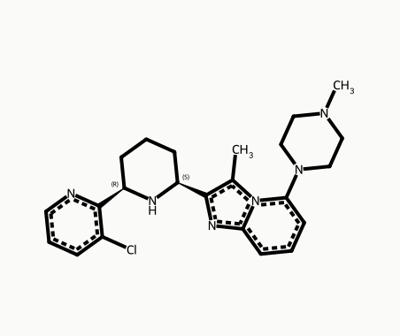 Cc1c([C@@H]2CCC[C@H](c3ncccc3Cl)N2)nc2cccc(N3CCN(C)CC3)n12